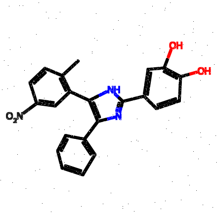 Cc1ccc([N+](=O)[O-])cc1-c1[nH]c(-c2ccc(O)c(O)c2)nc1-c1ccccc1